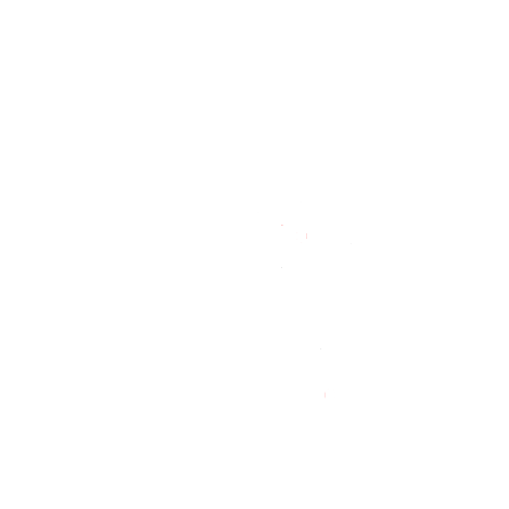 O=C1C=CC23CC4CC(OC4(c4ccccc4)C2)C3C1